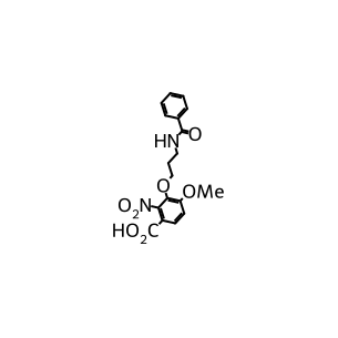 COc1ccc(C(=O)O)c([N+](=O)[O-])c1OCCCNC(=O)c1ccccc1